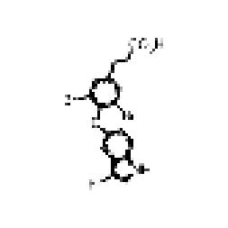 CC(C)c1c[nH]c2ccc(Oc3c(Br)cc(CCC(=O)O)cc3Br)cc12